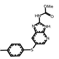 COC(=O)Nc1nc2cc(Sc3ccc(F)cc3)cnc2[nH]1